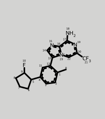 Cc1ccc(C2CCCC2F)cc1-c1cnc2c(N)nc(C(F)(F)F)cn12